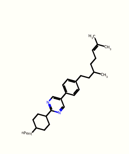 CCCCCC1CCC(c2ncc(-c3ccc(CCC(C)CCC=C(C)C)cc3)cn2)CC1